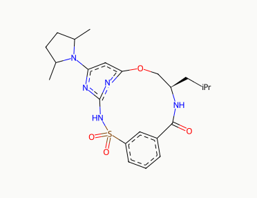 CC(C)C[C@@H]1COc2cc(N3C(C)CCC3C)nc(n2)NS(=O)(=O)c2cccc(c2)C(=O)N1